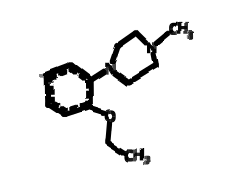 CCOc1cc[c]cc1N1CCN(C)CC1